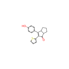 O=C1C(c2cccs2)=C(c2ccc(O)cc2)C2CCCC12